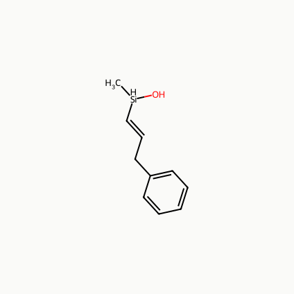 C[SiH](O)C=CCc1ccccc1